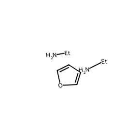 CCN.CCN.c1ccoc1